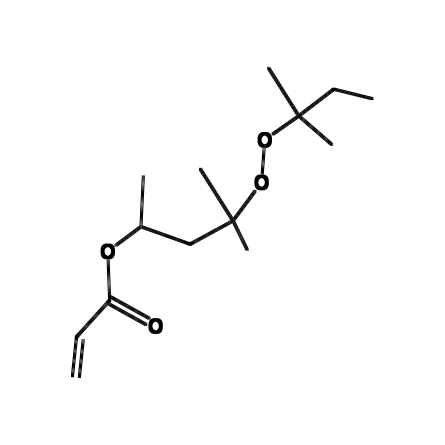 C=CC(=O)OC(C)CC(C)(C)OOC(C)(C)CC